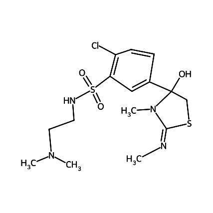 CN=C1SCC(O)(c2ccc(Cl)c(S(=O)(=O)NCCN(C)C)c2)N1C